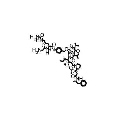 CC[C@H](C)[C@@H]([C@@H](CC(=O)N1CCC[C@H]1[C@@H](CC(=O)N[C@H](C)Cc1ccccc1)OC)OC)N(C)C(=O)[C@@H](NC(=O)[C@H](C(C)C)N(C)C(=O)OCc1ccc(NC(=O)[C@H](CCCNC(N)=O)NC(=O)CN)cc1)C(C)C